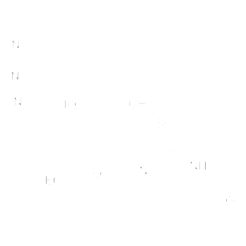 CC[C@@]1(CCN=[N+]=[N-])O[C@@H](n2ccc(=O)[nH]c2=O)C(O)[C@H]1O